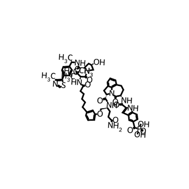 Cc1ncsc1-c1ccc([C@H](C)NC(=O)[C@@H]2C[C@@H](O)CN2C(=O)[C@@H](NC(=O)CCCCCc2cccc(OC[C@H](CCC(N)=O)NC(=O)[C@@H]3Cc4cccc5c4N3C(=O)[C@@H](NC(=O)c3cc4cc(C(=O)P(=O)(O)O)ccc4[nH]3)CC5)c2)C(C)(C)C)cc1